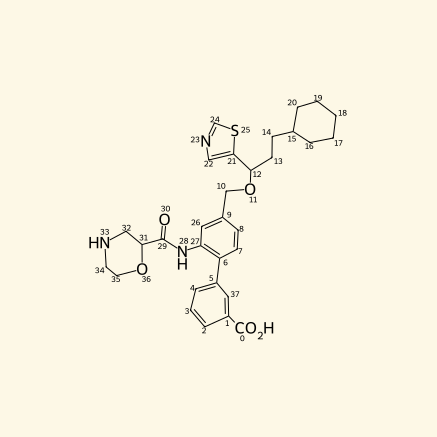 O=C(O)c1cccc(-c2ccc(COC(CCC3CCCCC3)c3cncs3)cc2NC(=O)C2CNCCO2)c1